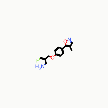 Cc1cnoc1-c1ccc(OC/C(=C/F)CN)cc1